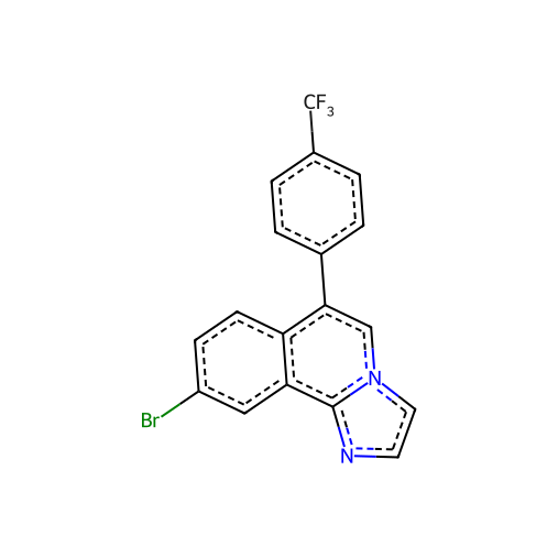 FC(F)(F)c1ccc(-c2cn3ccnc3c3cc(Br)ccc23)cc1